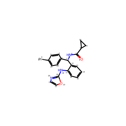 CC(C)c1ccc([C@@H](NC(=O)C2CC2)c2ccccc2Nc2ncco2)cc1